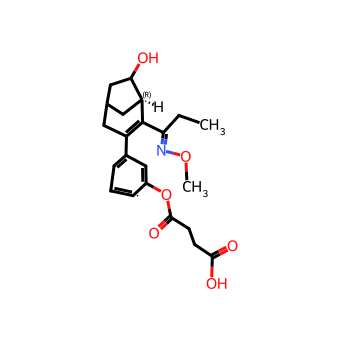 CCC(=NOC)C1=C(c2cc[c]c(OC(=O)CCC(=O)O)c2)CC2CC(O)[C@@H]1C2